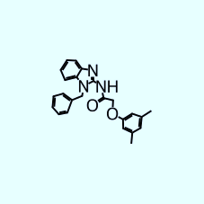 Cc1cc(C)cc(OCC(=O)Nc2nc3ccccc3n2Cc2ccccc2)c1